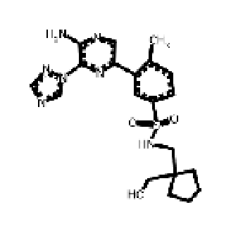 Cc1ccc(S(=O)(=O)NCC2(CO)CCCC2)cc1-c1cnc(N)c(-n2cncn2)n1